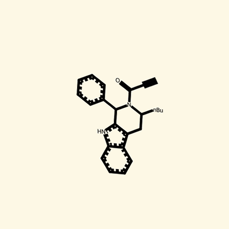 C#CC(=O)N1C(CCCC)Cc2c([nH]c3ccccc23)C1c1ccccc1